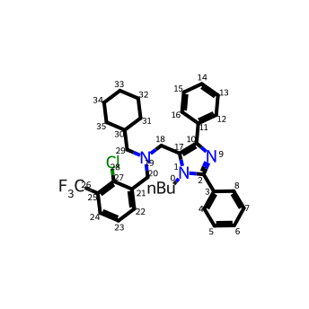 CCCCn1c(-c2ccccc2)nc(-c2ccccc2)c1CN(Cc1cccc(C(F)(F)F)c1Cl)CC1CCCCC1